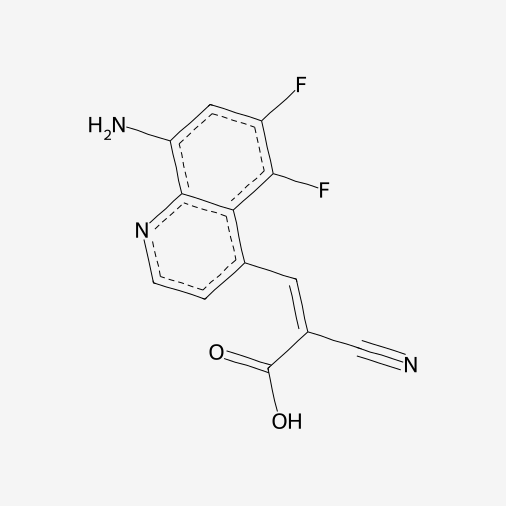 N#CC(=Cc1ccnc2c(N)cc(F)c(F)c12)C(=O)O